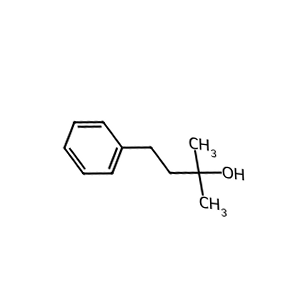 CC(C)(O)CCc1ccccc1